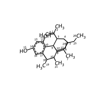 C=C(C)C1CCC(C)=CC1c1c(O)cc(O)cc1C(C)C(C)CCCCC